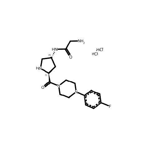 Cl.Cl.NCC(=O)N[C@H]1CN[C@H](C(=O)N2CCN(c3ccc(F)cc3)CC2)C1